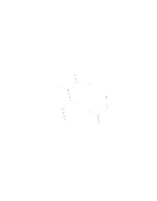 CC(C)CC(N)C(=O)O.O=CC(O)C(O)C(O)C(O)CO